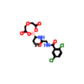 CC(C)CC(NC(=O)CNC(=O)c1cc(Cl)ccc1Cl)B1OC(=O)COCC(=O)O1